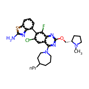 CCCC1CCCN(c2nc(OC[C@@H]3CCCN3C)nc3c(F)c(-c4cccc5sc(N)nc45)c(Cl)cc23)CC1